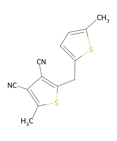 Cc1ccc(Cc2sc(C)c(C#N)c2C#N)s1